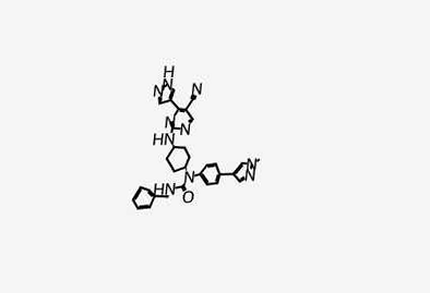 Cn1cc(-c2ccc(N(C(=O)NCc3ccccc3)[C@H]3CC[C@H](Nc4ncc(C#N)c(-c5cn[nH]c5)n4)CC3)cc2)cn1